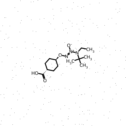 CCN(/[N+]([O-])=N/O[C@H]1CC[C@H](C(=O)O)CC1)C(C)(C)C